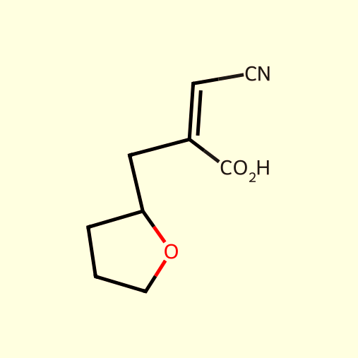 N#C/C=C(/CC1CCCO1)C(=O)O